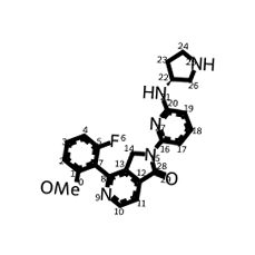 COc1cccc(F)c1-c1nccc2c1CN(c1cccc(N[C@@H]3CCNC3)n1)C2=O